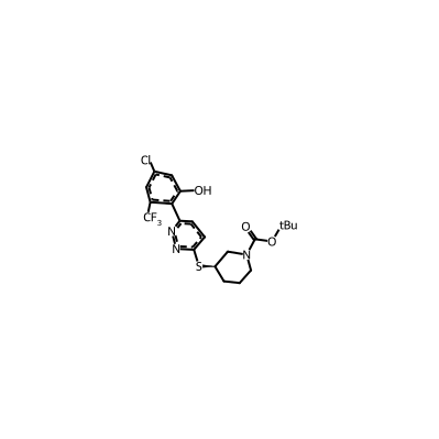 CC(C)(C)OC(=O)N1CCC[C@@H](Sc2ccc(-c3c(O)cc(Cl)cc3C(F)(F)F)nn2)C1